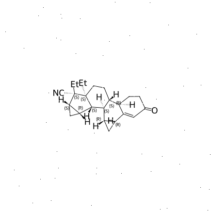 CC[C@]12CC[C@H]3[C@@H]([C@H]4C[C@H]4C4=CC(=O)CC[C@@H]43)[C@@H]1[C@@H]1C[C@@H]1[C@@]2(C#N)CC